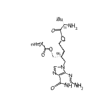 CCCCCCCC(=O)OC[C@H](CCOC(=O)[C@@H](N)C(C)CC)Cn1cnc2c(=O)[nH]c(N)nc21